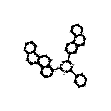 c1ccc(-c2nc(-c3ccc4c(ccc5ccccc54)c3)nc(-c3cccc4c3ccc3c5ccccc5ccc43)n2)cc1